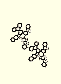 c1ccc2cc3c(cc2c1)c1c2c4ccccc4c4ccccc4c2ccc1n3-c1nc2c(nc1-c1ccc3c(c1)oc1ccccc13)oc1c(-c3ccc4c(c3)c3ccccc3c3ccc5c(c6cc7ccccc7cc6n5-c5nc6c(nc5-c5ccc7c(c5)oc5ccccc57)sc5ccccc56)c34)cccc12